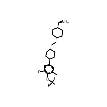 C=C[C@H]1CC[C@H](CC[C@H]2CC[C@H](c3cc(F)c(OC(F)(F)F)c(F)c3)CC2)CC1